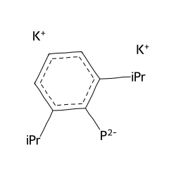 CC(C)c1cccc(C(C)C)c1[P-2].[K+].[K+]